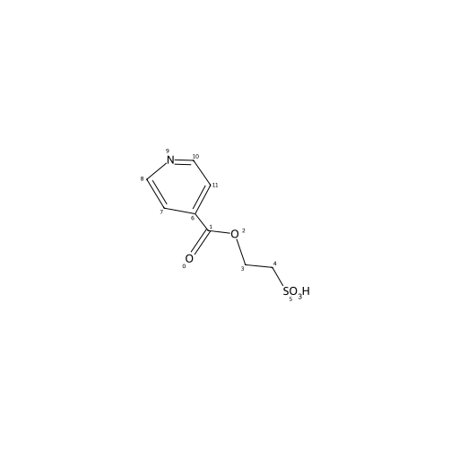 O=C(OCCS(=O)(=O)O)c1ccncc1